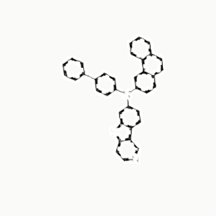 c1ccc(-c2ccc(N(c3ccc4c(c3)sc3ccncc34)c3ccc4ccc5ccccc5c4c3)cc2)cc1